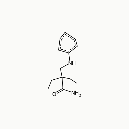 CCC(CC)(CNc1ccccc1)C(N)=O